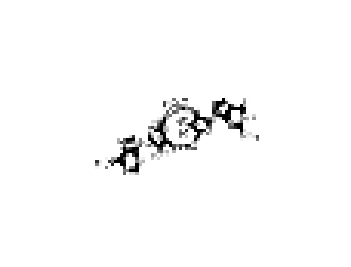 Nc1nc2c(ncn2[C@@H]2OC3OPC[C@H]4[C@H](Cl)[C@H](n5cnc6c(N)ncnc65)O[C@@H]4COP(=O)(O)O[C@@H]2[C@@H]3O)c(=O)[nH]1